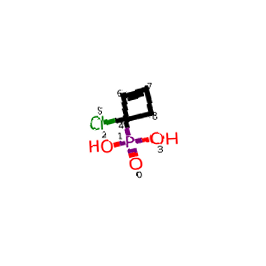 O=P(O)(O)C1(Cl)C=CC1